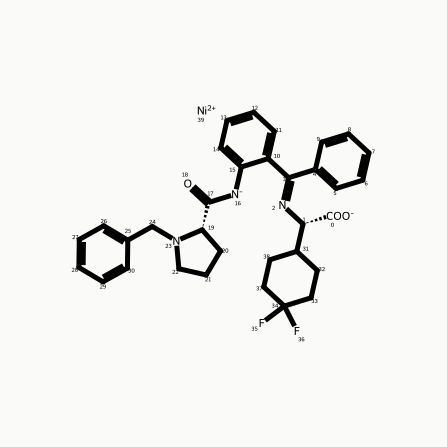 O=C([O-])[C@@H](/N=C(\c1ccccc1)c1ccccc1[N-]C(=O)[C@@H]1CCCN1Cc1ccccc1)C1CCC(F)(F)CC1.[Ni+2]